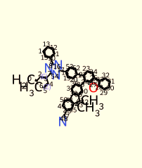 C=C/C=C(\C=C/C)c1nc(-c2ccccc2)nc(-c2ccc(-c3ccc4c(oc5ccccc54)c3-c3ccc4c(c3)C(C)(C)c3cc(C#N)ccc3-4)cc2)n1